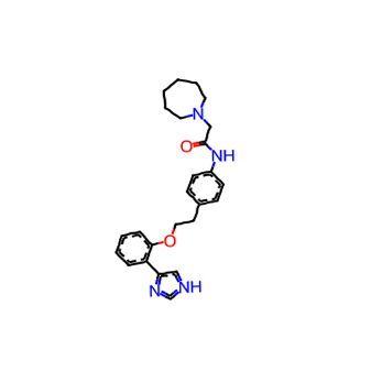 O=C(CN1CCCCCC1)Nc1ccc(CCOc2ccccc2-c2c[nH]cn2)cc1